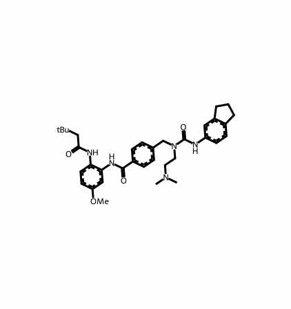 COc1ccc(NC(=O)CC(C)(C)C)c(NC(=O)c2ccc(CN(CCN(C)C)C(=O)Nc3ccc4c(c3)CCC4)cc2)c1